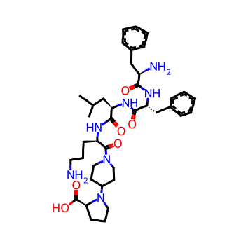 CC(C)C[C@@H](NC(=O)[C@@H](Cc1ccccc1)NC(=O)[C@H](N)Cc1ccccc1)C(=O)N[C@H](CCCN)C(=O)N1CCC(N2CCC[C@H]2C(=O)O)CC1